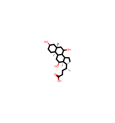 C[C@H](CCC(=O)O)[C@H]1CCC2C3C(O)C[C@@H]4C[C@H](O)CC[C@]4(C)C3C[C@H](O)[C@@]21C